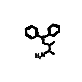 CC(N)C(C)CP(c1ccccc1)c1ccccc1